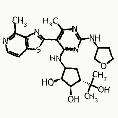 Cc1nc(N[C@H]2CCOC2)nc(NC2C[C@H](C(C)(C)O)[C@@H](O)[C@H]2O)c1-c1nc2c(C)nccc2s1